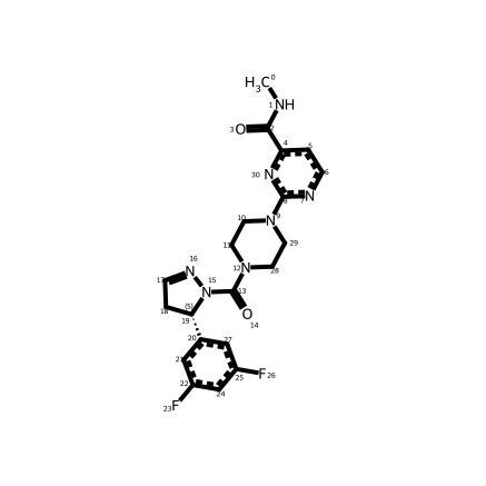 CNC(=O)c1ccnc(N2CCN(C(=O)N3N=CC[C@H]3c3cc(F)cc(F)c3)CC2)n1